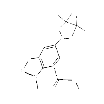 COC(=O)c1cc(B2OC(C)(C)C(C)(C)O2)cc2c1N(C)NN2